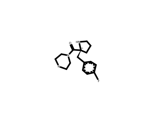 O=C(N1CC[N]CC1)[C@@]1(Cc2ccc(F)cc2)CCCN1